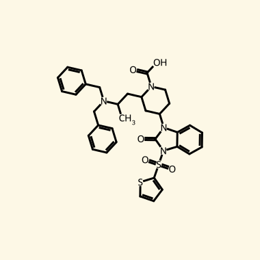 CC(CC1CC(n2c(=O)n(S(=O)(=O)c3cccs3)c3ccccc32)CCN1C(=O)O)N(Cc1ccccc1)Cc1ccccc1